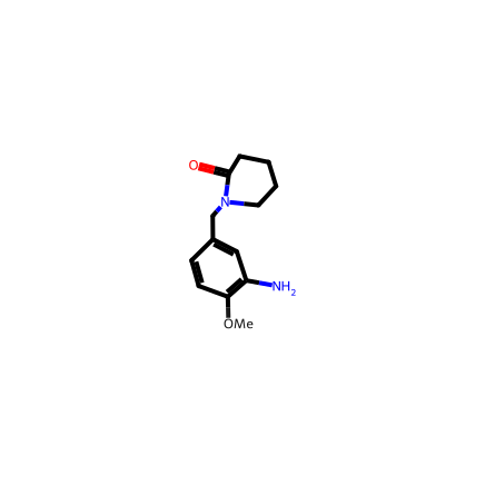 COc1ccc(CN2CCCCC2=O)cc1N